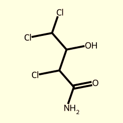 NC(=O)C(Cl)C(O)C(Cl)Cl